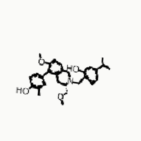 COC[C@@H]1Cc2c(ccc(OC)c2-c2ccc(O)c(C)c2)CN1Cc1ccc(C(C)C)cc1O